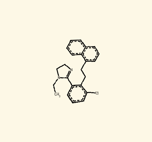 CCN1CCN=C1c1cccc(Cl)c1CCc1cccc2ccccc12